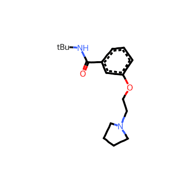 CC(C)(C)NC(=O)c1cccc(OCCN2CCCC2)c1